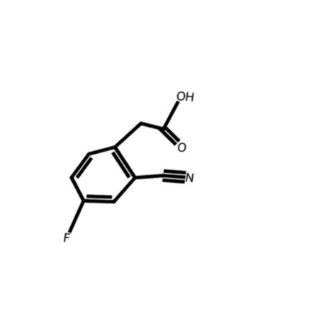 N#Cc1cc(F)ccc1CC(=O)O